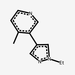 CCn1cc(-c2cnccc2C)cn1